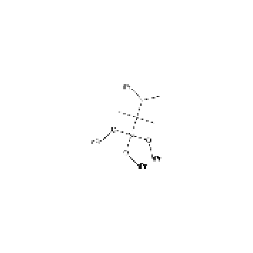 CCCO[Si](OCCC)(OCCC)C(C)(C)C(C)C(C)C